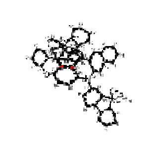 CC1(C)c2ccccc2-c2ccc(N(c3ccc4c(c3)C3(c5ccccc5O4)c4ccccc4-c4ccccc43)c3cc4ccccc4cc3-c3cccc4oc5ccccc5c34)cc21